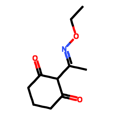 CCON=C(C)C1C(=O)CCCC1=O